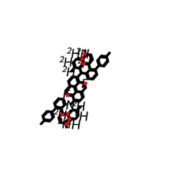 [2H]c1c([2H])c([2H])c(C(c2c(F)ccc(-c3ccc(C)cc3)c2-c2ccc(C)cc2)c2ccc3ccc4c(N(c5c([2H])c([2H])c([2H])c([2H])c5[2H])c5c(F)ccc(-c6ccc(C)cc6)c5-c5ccc(C)cc5)ccc5ccc2c3c54)c([2H])c1[2H]